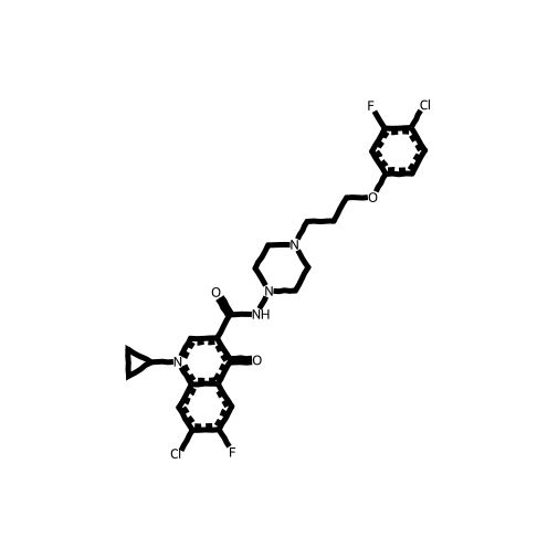 O=C(NN1CCN(CCCOc2ccc(Cl)c(F)c2)CC1)c1cn(C2CC2)c2cc(Cl)c(F)cc2c1=O